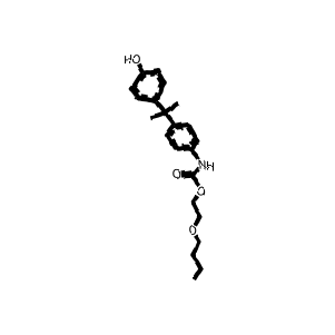 CCCCOCCOC(=O)Nc1ccc(C(C)(C)c2ccc(O)cc2)cc1